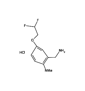 CNc1ccc(OCC(F)F)cc1CN.Cl